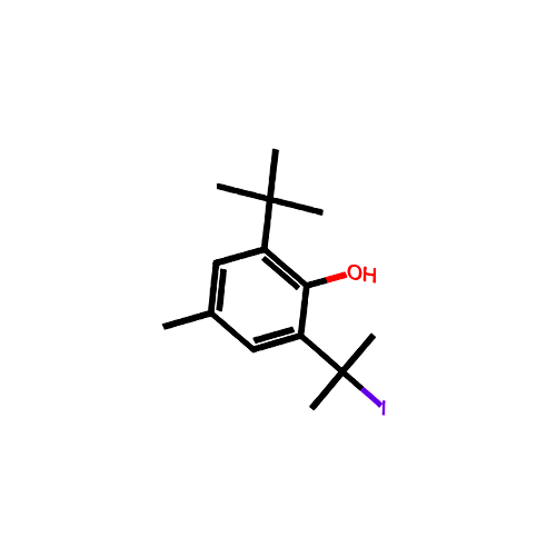 Cc1cc(C(C)(C)C)c(O)c(C(C)(C)I)c1